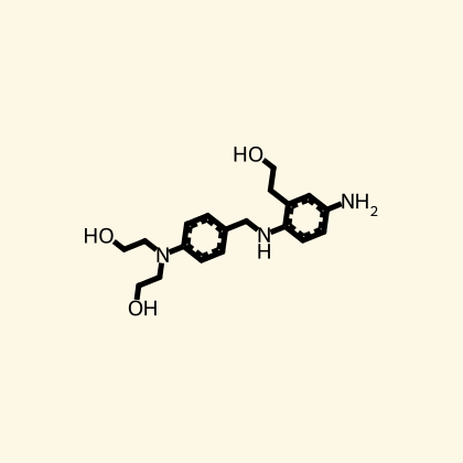 Nc1ccc(NCc2ccc(N(CCO)CCO)cc2)c(CCO)c1